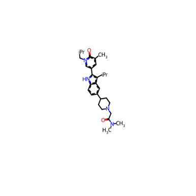 Cc1cc(-c2[nH]c3ccc(C4CCN(CC(=O)N(C)C)CC4)cc3c2C(C)C)cn(CC(C)C)c1=O